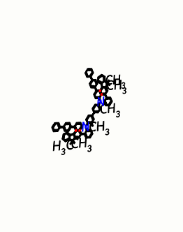 Cc1cc(-c2ccc(N(c3ccc(-c4ccc(-c5ccccc5)cc4)cc3)c3ccccc3-c3ccc4c(c3)C(C)(C)c3ccccc3-4)c(C)c2)ccc1N(c1ccc(-c2ccc(-c3ccccc3)cc2)cc1)c1ccccc1-c1ccc2c(c1)C(C)(C)c1ccccc1-2